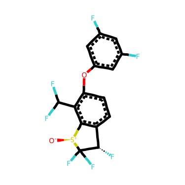 [O-][S@@+]1c2c(ccc(Oc3cc(F)cc(F)c3)c2C(F)F)[C@H](F)C1(F)F